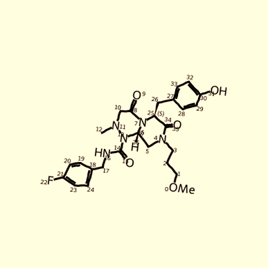 COCCCN1C[C@H]2N(C(=O)CN(C)N2C(=O)NCc2ccc(F)cc2)[C@@H](Cc2ccc(O)cc2)C1=O